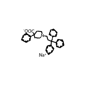 O=C([O-])C1(c2ccccc2)CCN(CCC(c2ccccc2)(c2ccccc2)c2ccccc2)CC1.[Na+]